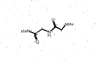 CNCC(=O)NCC(=O)NC